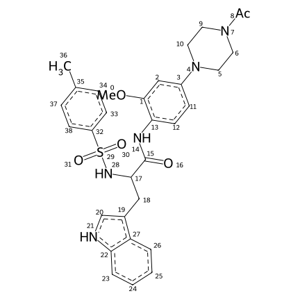 COc1cc(N2CCN(C(C)=O)CC2)ccc1NC(=O)C(Cc1c[nH]c2ccccc12)NS(=O)(=O)c1ccc(C)cc1